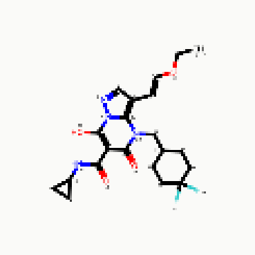 CCO/C=C/c1cnn2c(O)c(C(=O)NC3CC3)c(=O)n(CC3CCC(F)(F)CC3)c12